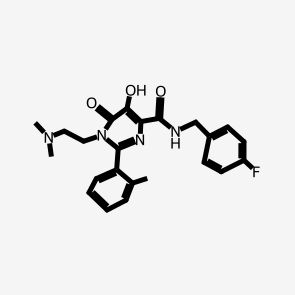 Cc1ccccc1-c1nc(C(=O)NCc2ccc(F)cc2)c(O)c(=O)n1CCN(C)C